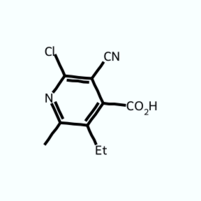 CCc1c(C)nc(Cl)c(C#N)c1C(=O)O